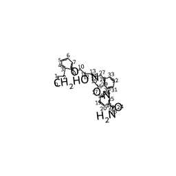 C=CCc1ccccc1OCC(O)CN(CCOc1ccc(C(N)=O)cn1)Cc1ccccc1